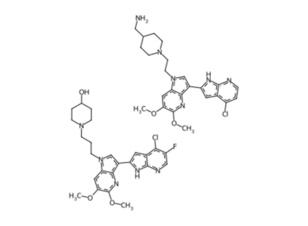 COc1cc2c(nc1OC)c(-c1cc3c(Cl)c(F)cnc3[nH]1)cn2CCCN1CCC(O)CC1.COc1cc2c(nc1OC)c(-c1cc3c(Cl)ccnc3[nH]1)cn2CCN1CCC(CN)CC1